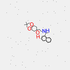 CC(NCCC1(O)CCC2(CC1)OCC(C)(C)CO2)c1cccc2ccccc12